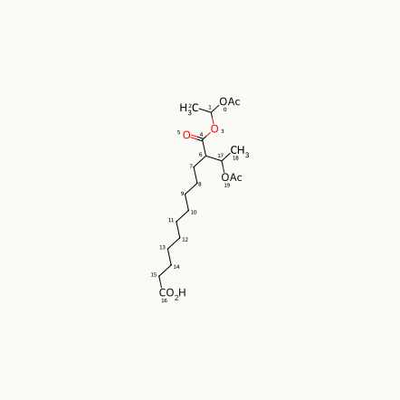 CC(=O)OC(C)OC(=O)C(CCCCCCCCCC(=O)O)C(C)OC(C)=O